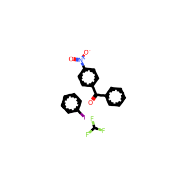 FC(F)F.Ic1ccccc1.O=C(c1ccccc1)c1ccc([N+](=O)[O-])cc1